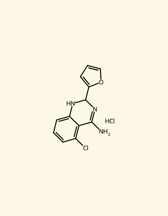 Cl.NC1=NC(c2ccco2)Nc2cccc(Cl)c21